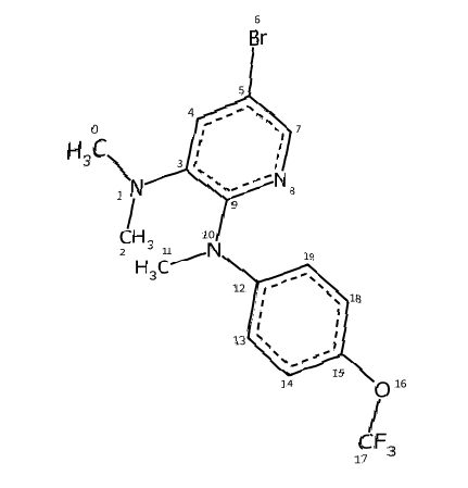 CN(C)c1cc(Br)cnc1N(C)c1ccc(OC(F)(F)F)cc1